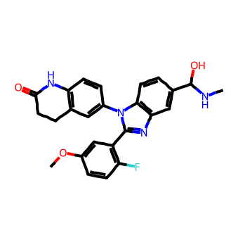 CNC(O)c1ccc2c(c1)nc(-c1cc(OC)ccc1F)n2-c1ccc2c(c1)CCC(=O)N2